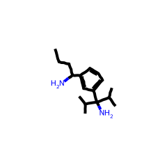 CCCC(N)c1cccc(C(N)(C(C)C)C(C)C)c1